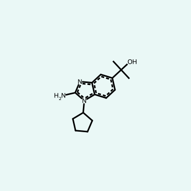 CC(C)(O)c1ccc2c(c1)nc(N)n2C1CCCC1